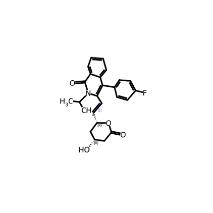 CC(C)n1c(/C=C/[C@H]2C[C@@H](O)CC(=O)O2)c(-c2ccc(F)cc2)c2ccccc2c1=O